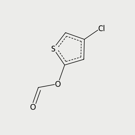 O=COc1cc(Cl)cs1